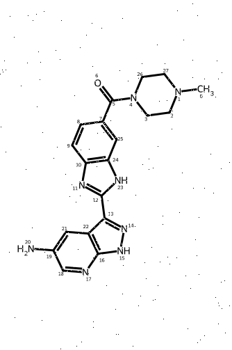 CN1CCN(C(=O)c2ccc3nc(-c4n[nH]c5ncc(N)cc45)[nH]c3c2)CC1